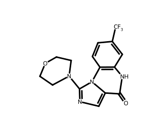 O=c1[nH]c2cc(C(F)(F)F)ccc2n2c(N3CCOCC3)ncc12